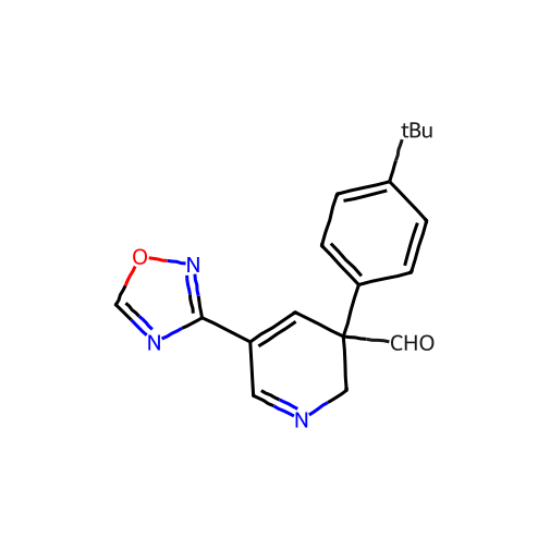 CC(C)(C)c1ccc(C2(C=O)C=C(c3ncon3)C=NC2)cc1